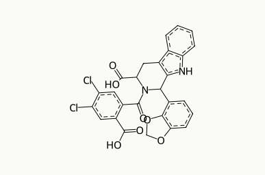 O=C(O)c1cc(Cl)c(Cl)cc1C(=O)N1C(C(=O)O)Cc2c([nH]c3ccccc23)C1c1cccc2c1OCO2